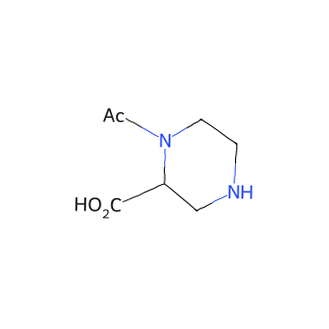 CC(=O)N1CCNCC1C(=O)O